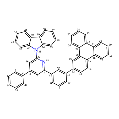 c1ccc(-c2cc(-c3cccc(-c4ccc5c6ccccc6c6ccccc6c5c4)c3)nc(-n3c4ccccc4c4ccccc43)c2)cc1